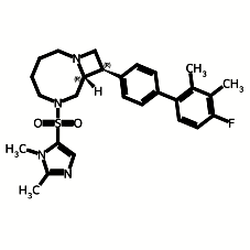 Cc1c(F)ccc(-c2ccc([C@@H]3CN4CCCCN(S(=O)(=O)c5cnc(C)n5C)C[C@@H]34)cc2)c1C